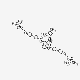 C=C(C)C(=O)OCCOC1CCC(C2CCC(C(=O)Oc3c(-c4cn(-c5ccc(C)cc5C)nn4)cc(OC(=O)C4CCC(C5CCC(OCCOC(=O)C(=C)C(F)(F)F)CC5)CC4)c4ccccc34)CC2)CC1